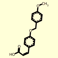 COc1ccc(COc2ccc(/C=C\C(=O)O)cc2)cc1